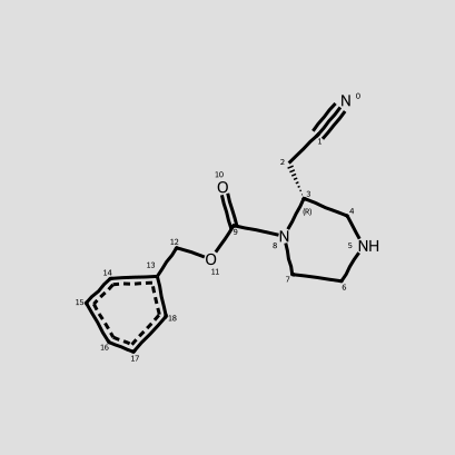 N#CC[C@@H]1CNCCN1C(=O)OCc1ccccc1